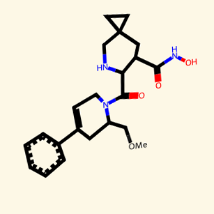 COCC1CC(c2ccccc2)=CCN1C(=O)C1NCC2(CC2)CC1C(=O)NO